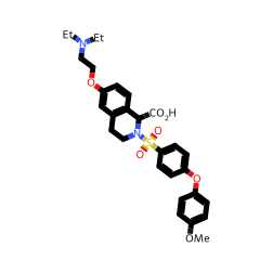 CCN(CC)CCOc1ccc2c(c1)CCN(S(=O)(=O)c1ccc(Oc3ccc(OC)cc3)cc1)C2C(=O)O